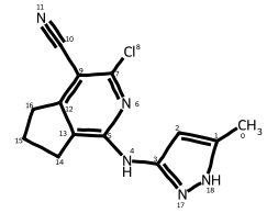 Cc1cc(Nc2nc(Cl)c(C#N)c3c2CCC3)n[nH]1